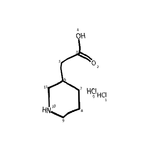 Cl.Cl.O=C(O)CC1CCCNC1